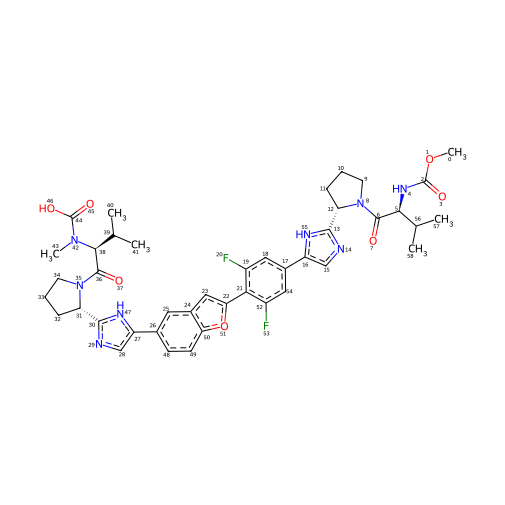 COC(=O)N[C@H](C(=O)N1CCC[C@H]1c1ncc(-c2cc(F)c(-c3cc4cc(-c5cnc([C@@H]6CCCN6C(=O)[C@H](C(C)C)N(C)C(=O)O)[nH]5)ccc4o3)c(F)c2)[nH]1)C(C)C